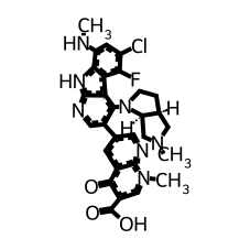 CNc1cc(Cl)c(F)c2c1[nH]c1ncc(-c3cnc4c(c3)c(=O)c(C(=O)O)cn4C)c(N3CC[C@H]4CN(C)C[C@H]43)c12